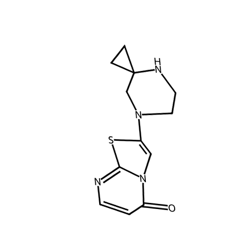 O=c1ccnc2sc(N3CCNC4(CC4)C3)cn12